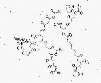 CC(=O)C(=O)OC(=O)CC(=O)OCC(C)CC(=O)OCC(COC(=O)CC(=O)OC(=O)C(C)=O)OC(=O)C(C)=O.CO.COC(=O)CC(=O)O.COC(=O)CCC(=O)O.COCC(COCC(COC(=O)C(C)=O)OC(=O)CC(=O)O)OC(=O)CCCCOC(=O)CC(C)OC(=O)[C@@H]1CCCN1